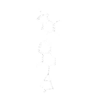 Cc1c(O)c(-c2ccc3c(=O)n(C4C5CNCC54)ccc3n2)cc2cn(C)nc12